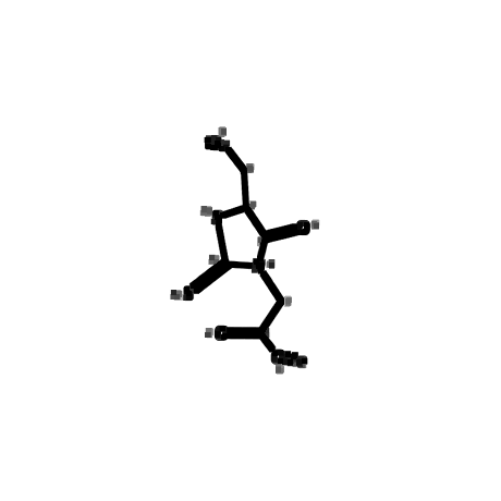 COC(=O)CN1C(=O)C(CC(C)(C)C)SC1=S